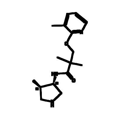 Cc1cccnc1OCC(C)(C)C(=O)N[C@@H]1CNC[C@H]1C